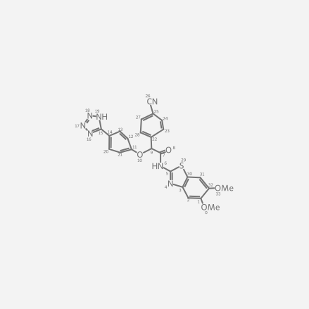 COc1cc2nc(NC(=O)C(Oc3ccc(-c4nnn[nH]4)cc3)c3ccc(C#N)cc3)sc2cc1OC